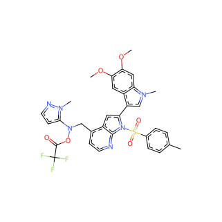 COc1cc2c(-c3cc4c(CN(OC(=O)C(F)(F)F)c5ccnn5C)ccnc4n3S(=O)(=O)c3ccc(C)cc3)cn(C)c2cc1OC